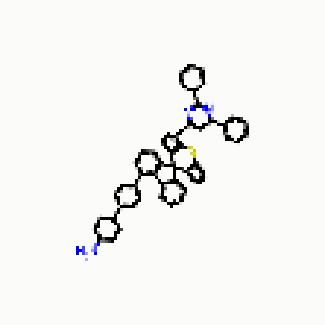 Nc1ccc(-c2ccc(-c3cccc4c3-c3ccccc3C43c4ccccc4Sc4c(-c5cc(-c6ccccc6)nc(C6C=CC=CC6)n5)cccc43)cc2)cc1